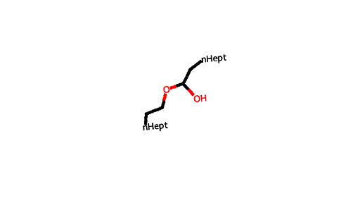 CCCCCCCCCOC(O)CCCCCCCC